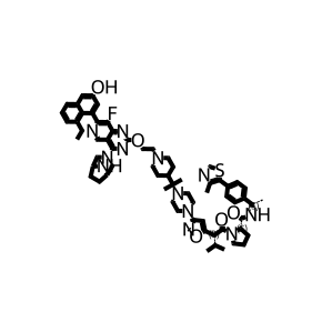 CCc1cccc2cc(O)cc(-c3ncc4c(N5CC6CCC(C5)N6)nc(OCCN5CCC(C(C)(C)N6CCN(c7cc([C@H](C(=O)N8CCC[C@H]8C(=O)N[C@@H](C)c8ccc(-c9scnc9C)cc8)C(C)C)on7)CC6)CC5)nc4c3F)c12